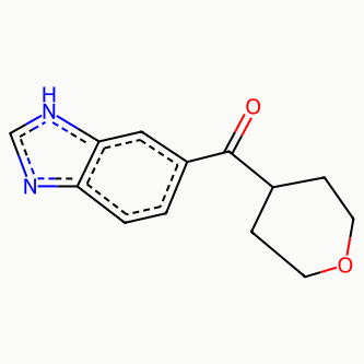 O=C(c1ccc2nc[nH]c2c1)C1CCOCC1